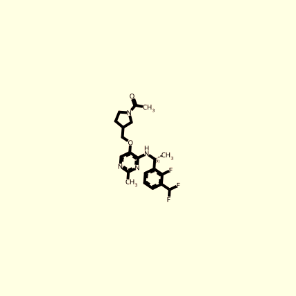 CC(=O)N1CCC(COc2cnc(C)nc2N[C@H](C)c2cccc(C(F)F)c2F)C1